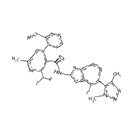 COc1cnccc1-c1cc(C)nc(C(F)F)c1C(=O)Nc1nc2cnc(-c3c(C)nnn3C)c(F)c2s1